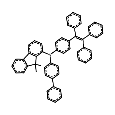 CC1(C)c2ccccc2-c2cccc(N(c3ccc(C(=C(c4ccccc4)c4ccccc4)c4ccccc4)cc3)c3ccc(-c4ccccc4)cc3)c21